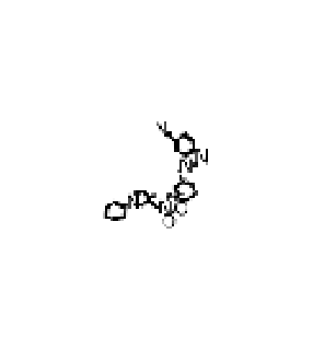 CC1(CN2C[C@@]3(CCC[C@H](Cn4cnc5ccc(C#N)cc54)C3)OC2=O)CCN(c2ccccc2)C1